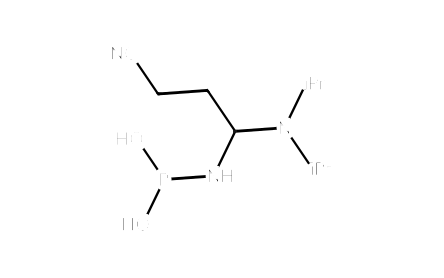 CC(C)N(C(C)C)C(CCC#N)NP(O)O